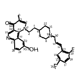 Cc1cn(CCC2CCN(C/C=C/c3cc(F)ccc3F)CC2)c2c(cnc3ccc(O)cc32)c1=O